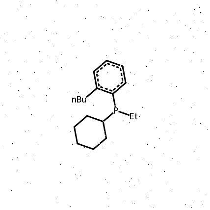 CCCCc1ccccc1P(CC)C1CCCCC1